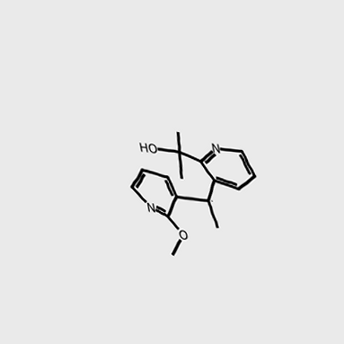 COc1ncccc1[C](C)c1cccnc1C(C)(C)O